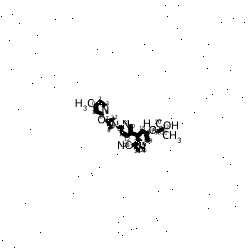 Cc1ccnc(OC2CN(c3ccc(-c4cc(OCC(C)(C)O)cn5ncc(C#N)c45)cn3)C2)c1